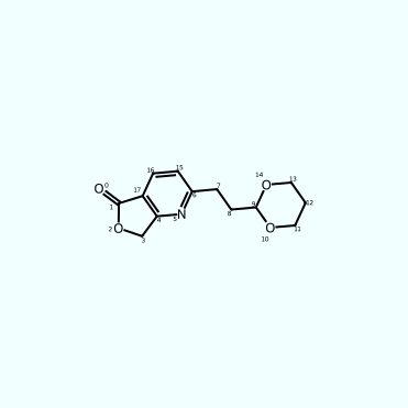 O=C1OCc2nc(CCC3OCCCO3)ccc21